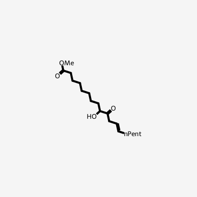 CCCCC/C=C/CC(=O)C(O)CCCCCCCC(=O)OC